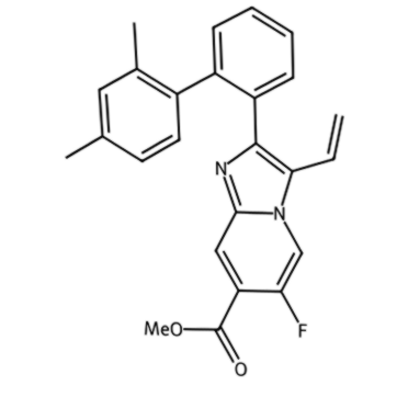 C=Cc1c(-c2ccccc2-c2ccc(C)cc2C)nc2cc(C(=O)OC)c(F)cn12